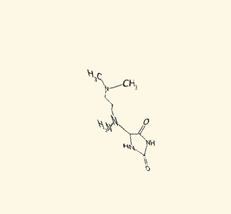 CN(C)CCN(N)C1NC(=O)NC1=O